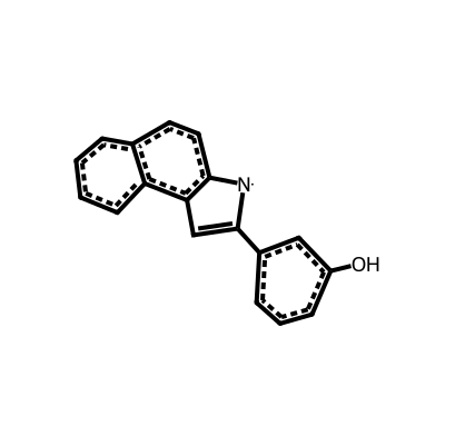 Oc1cccc(C2=Cc3c(ccc4ccccc34)[N]2)c1